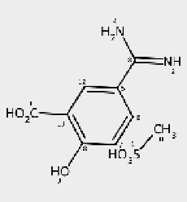 CS(=O)(=O)O.N=C(N)c1ccc(O)c(C(=O)O)c1